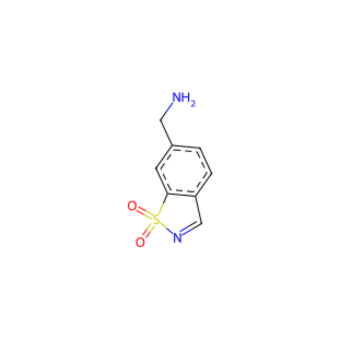 NCc1ccc2c(c1)S(=O)(=O)N=C2